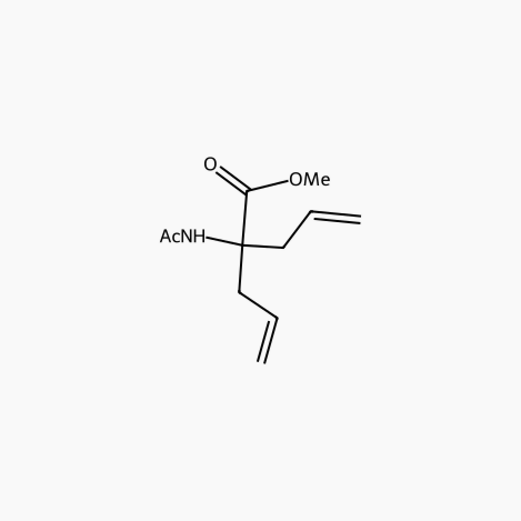 C=CCC(CC=C)(NC(C)=O)C(=O)OC